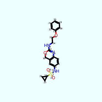 O=S(=O)(Nc1ccc2c(c1)COC(NCCOc1ccccc1)=N2)C1CC1